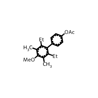 CCc1c(C)c(OC)c(C)c(CC)c1-c1ccc(OC(C)=O)cc1